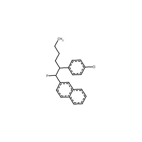 CCCCC(c1ccc(Cl)cc1)C(F)c1ccc2ccccc2c1